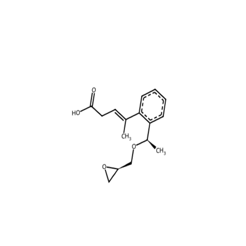 C/C(=C\CC(=O)O)c1ccccc1[C@@H](C)OC[C@H]1CO1